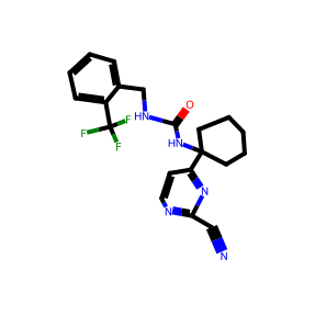 N#Cc1nccc(C2(NC(=O)NCc3ccccc3C(F)(F)F)CCCCC2)n1